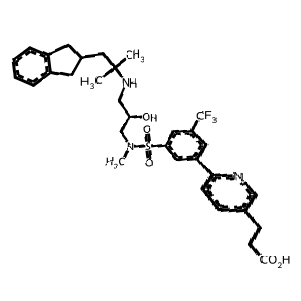 CN(CC(O)CNC(C)(C)CC1Cc2ccccc2C1)S(=O)(=O)c1cc(-c2ccc(CCC(=O)O)cn2)cc(C(F)(F)F)c1